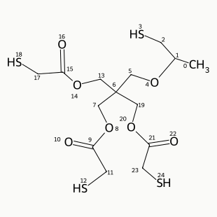 CC(CS)OCC(COC(=O)CS)(COC(=O)CS)COC(=O)CS